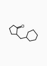 O=C1CCCC1CC1CCCCC1